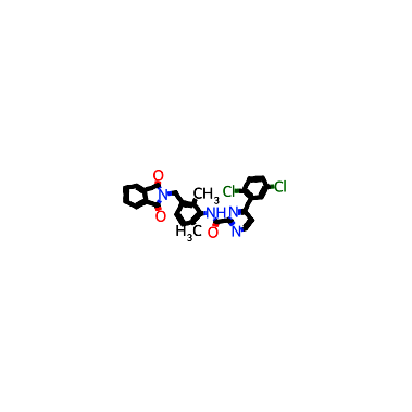 Cc1ccc(CN2C(=O)c3ccccc3C2=O)c(C)c1NC(=O)c1nccc(-c2cc(Cl)ccc2Cl)n1